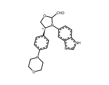 O=CC1OC[C@H](c2ccc(N3CCOCC3)cc2)N1c1ccc2[nH]cnc2c1